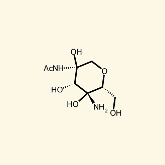 CC(=O)N[C@]1(O)CO[C@H](CO)[C@](N)(O)[C@@H]1O